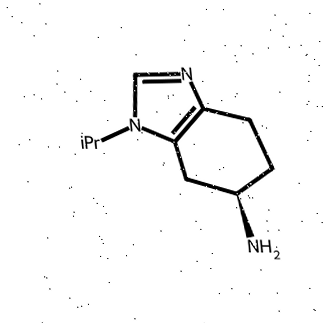 CC(C)n1cnc2c1C[C@H](N)CC2